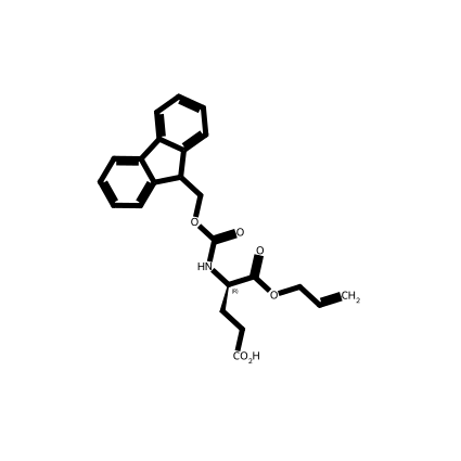 C=CCOC(=O)[C@@H](CCC(=O)O)NC(=O)OCC1c2ccccc2-c2ccccc21